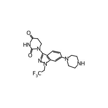 O=C1CCN(c2nn(CC(F)(F)F)c3cc(N4CCNCC4)ccc23)C(=O)N1